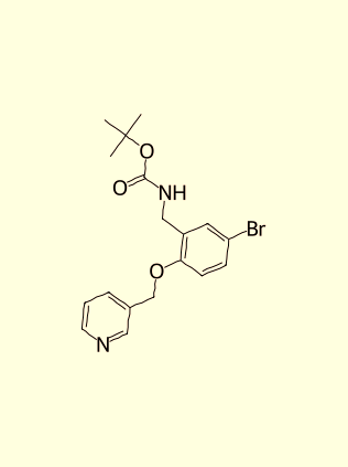 CC(C)(C)OC(=O)NCc1cc(Br)ccc1OCc1cccnc1